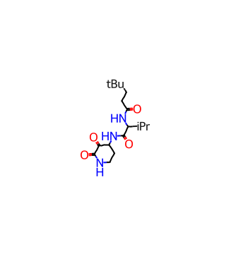 CC(C)C(NC(=O)CCC(C)(C)C)C(=O)NC1CCNC(=O)C1=O